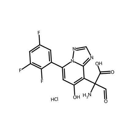 Cl.NC(C=O)(C(=O)O)c1c(O)cc(-c2cc(F)cc(F)c2F)n2ncnc12